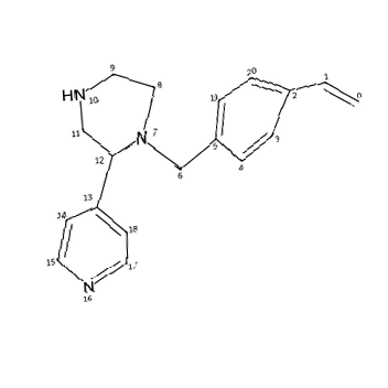 C=Cc1ccc(CN2CCNCC2c2ccncc2)cc1